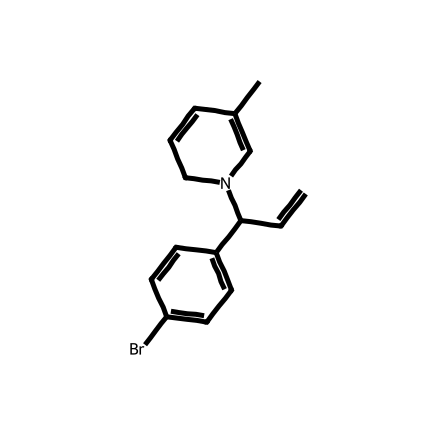 C=CC(c1ccc(Br)cc1)N1C=C(C)C=CC1